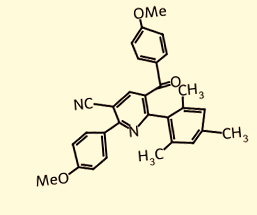 COc1ccc(C(=O)c2cc(C#N)c(-c3ccc(OC)cc3)nc2-c2c(C)cc(C)cc2C)cc1